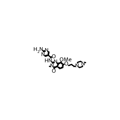 COc1c(OCCCN2CCN(C)CC2)ccc2c(=O)n(C)c(NC(=O)c3cnc(N)nc3)nc12